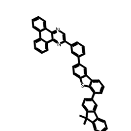 CC1(C)c2ccccc2-c2cc(-c3cccc4c3sc3ccc(-c5cccc(-c6cnc7c8ccccc8c8ccccc8c7n6)c5)cc34)ccc21